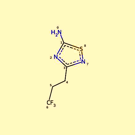 Nc1nc(CCC(F)(F)F)ns1